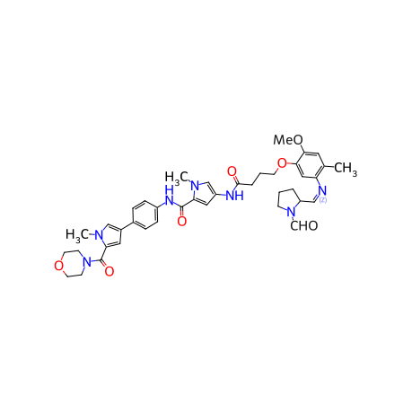 COc1cc(C)c(/N=C\C2CCCN2C=O)cc1OCCCC(=O)Nc1cc(C(=O)Nc2ccc(-c3cc(C(=O)N4CCOCC4)n(C)c3)cc2)n(C)c1